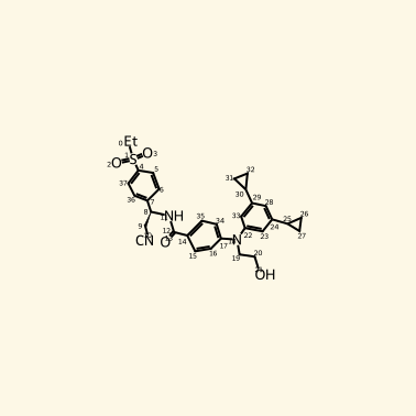 CCS(=O)(=O)c1ccc([C@H](CC#N)NC(=O)c2ccc(N(CCO)c3cc(C4CC4)cc(C4CC4)c3)cc2)cc1